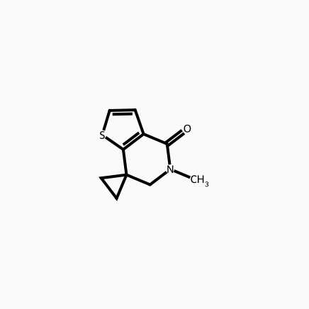 CN1CC2(CC2)c2sccc2C1=O